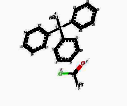 CCCC(=O)Cl.CCCC[B-](c1ccccc1)(c1ccccc1)c1ccccc1